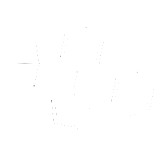 CC1(C)C2=CNC3c4ccccc4-c4cccc(c4N23)C1(C)C